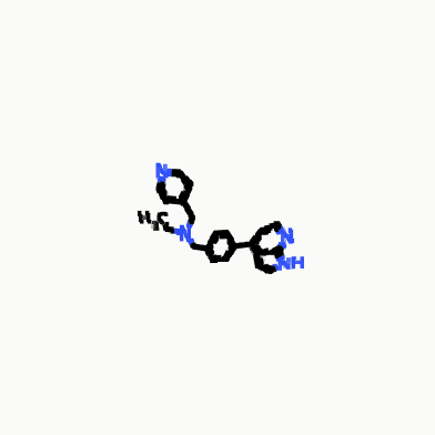 CCN(Cc1ccncc1)Cc1ccc(-c2ccnc3[nH]ccc23)cc1